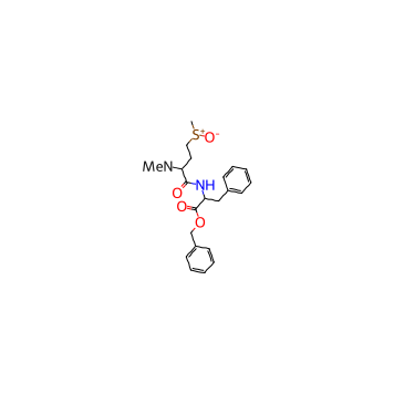 CNC(CC[S+](C)[O-])C(=O)NC(Cc1ccccc1)C(=O)OCc1ccccc1